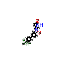 O=C1CCC2(CN(C(=O)c3ccc(-c4ccc(C(F)(F)F)c(F)c4)cc3)C2)N1